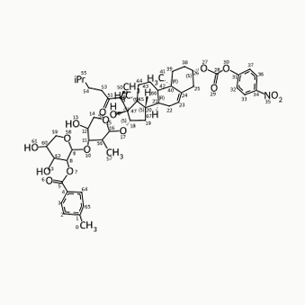 Cc1ccc(C(=O)OC2C(OC3C(O)COC(O[C@H]4C[C@H]5[C@@H]6CC=C7C[C@@H](OC(=O)Oc8ccc([N+](=O)[O-])cc8)CC[C@]7(C)C6CC[C@]5(C)[C@@]4(O)[C@H](C)C(=O)CCC(C)C)C3C)OCC(O)C2O)cc1